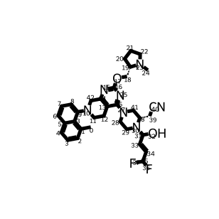 Cc1cccc2cccc(N3CCc4c(nc(OC[C@@H]5CCCN5C)nc4N4CCN(C(O)/C=C/C(F)F)[C@@H](CC#N)C4)C3)c12